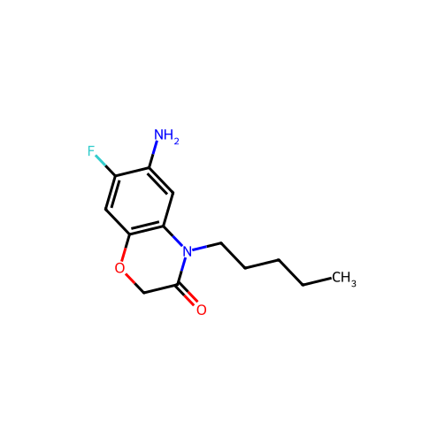 CCCCCN1C(=O)COc2cc(F)c(N)cc21